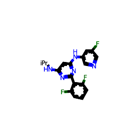 CC(C)Nc1cc(Nc2cncc(F)c2)nc(-c2c(F)cccc2F)n1